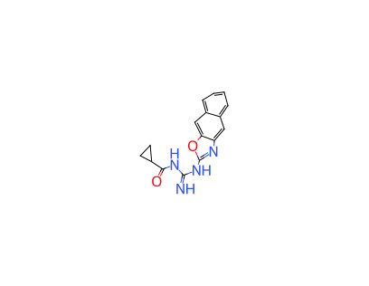 N=C(NC(=O)C1CC1)Nc1nc2cc3ccccc3cc2o1